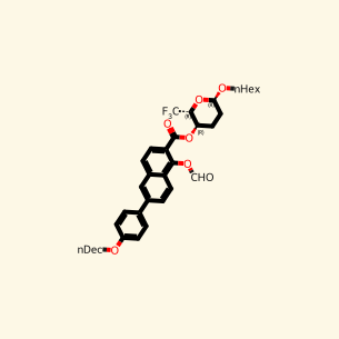 CCCCCCCCCCOc1ccc(-c2ccc3c(OC=O)c(C(=O)O[C@@H]4CC[C@H](OCCCCCC)O[C@H]4C(F)(F)F)ccc3c2)cc1